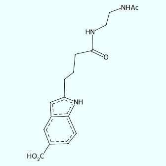 CC(=O)NCCNC(=O)CCCc1cc2cc(C(=O)O)ccc2[nH]1